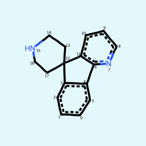 c1ccc2c(c1)-c1ncccc1C21CCNCC1